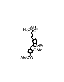 COC(=O)c1ccc(Cc2cn(C(C)C)c3ccc(C=CCC(=O)N(C)C)cc23)c(OC)c1